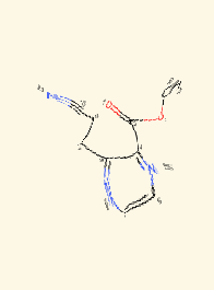 COC(=O)c1nccnc1CCC#N